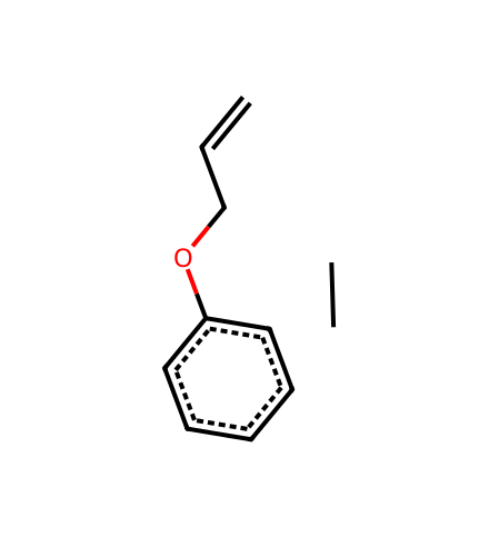 C=CCOc1ccccc1.CC